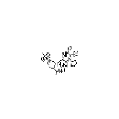 CC[C@@H]1C(=O)N(C)c2cnc(N[C@@H](C)C3CCN(S(C)(=O)=O)CC3)nc2N1C1CCCC1